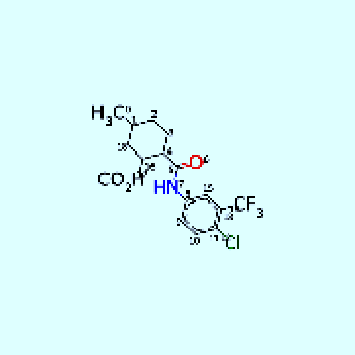 CC1CCC(C(=O)Nc2ccc(Cl)c(C(F)(F)F)c2)C(C(=O)O)C1